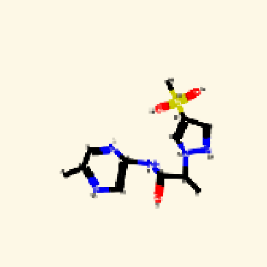 Cc1cnc(NC(=O)C(C)n2cc(S(C)(=O)=O)cn2)cn1